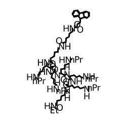 CCCNCCCCC(NC(=O)CCCCCNC(=O)CCCCCNC(=O)OCC1c2ccccc2-c2ccccc21)C(=O)NC(CCCCNCCC)C(=O)NC(CCCCNCCC)C(=O)NC(CCCCNCCC)C(=O)NC(CCCCNCCC)C(=O)NCCCCCC(=O)NCC